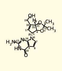 CC1(C)OC2[C@H](n3ccc4c(=O)[nH]c(N)nc43)C=C(CO)[C@@H]2O1